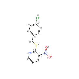 O=[N+]([O-])c1cccnc1SCc1ccc(Cl)cc1